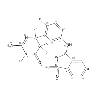 CN1C(=O)C(C)(C)C(C)(c2cc(NC3CS(=O)(=O)c4ccccc43)ccc2F)N=C1N